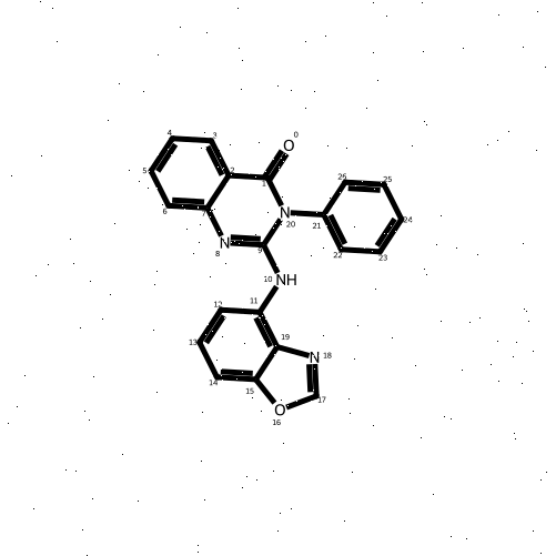 O=c1c2ccccc2nc(Nc2cccc3ocnc23)n1-c1ccccc1